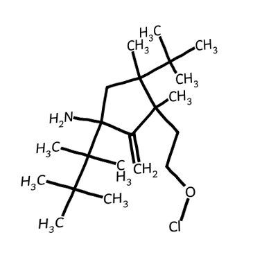 C=C1C(C)(CCOCl)C(C)(C(C)(C)C)CC1(N)C(C)(C)C(C)(C)C